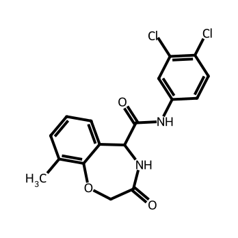 Cc1cccc2c1OCC(=O)NC2C(=O)Nc1ccc(Cl)c(Cl)c1